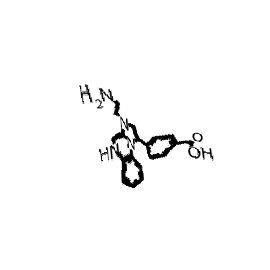 NCCN1C=C(c2ccc(C(=O)O)cc2)N2C1=CNc1ccccc12